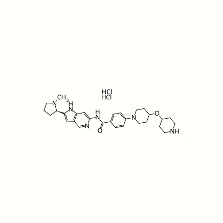 CN1CCC[C@@H]1c1cc2cnc(NC(=O)c3ccc(N4CCC(OC5CCNCC5)CC4)cc3)cc2[nH]1.Cl.Cl